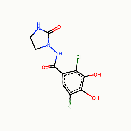 O=C(NN1CCNC1=O)c1cc(Cl)c(O)c(O)c1Cl